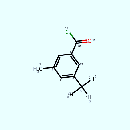 [2H]C([2H])([2H])c1cc(C)cc(C(=O)Cl)c1